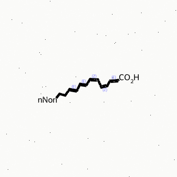 CCCCCCCCCCC/C=C/C=C/C=C\C=C/C=C/C(=O)O